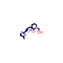 Cc1ccnc(C#CCC2(N)CCCN(CO)C2=O)n1